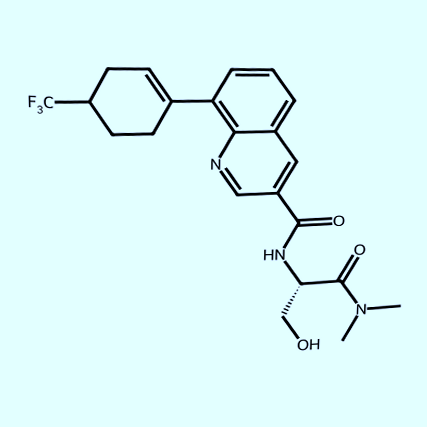 CN(C)C(=O)[C@H](CO)NC(=O)c1cnc2c(C3=CCC(C(F)(F)F)CC3)cccc2c1